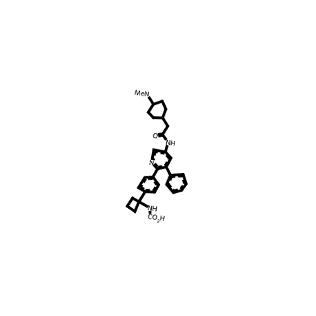 CNC1CCC(CC(=O)Nc2cnc(-c3ccc(C4(NC(=O)O)CCC4)cc3)c(-c3ccccc3)c2)CC1